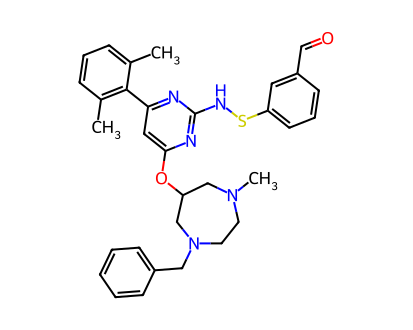 Cc1cccc(C)c1-c1cc(OC2CN(C)CCN(Cc3ccccc3)C2)nc(NSc2cccc(C=O)c2)n1